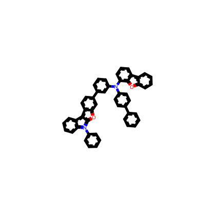 c1ccc(-c2ccc(N(c3cccc(-c4ccc5c(c4)oc4c5c5ccccc5n4-c4ccccc4)c3)c3cccc4c3oc3ccccc34)cc2)cc1